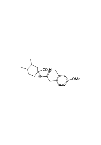 COc1ccc(CC(=O)NC2(C(=O)O)CCC(C)C(C)C2)c(C)c1